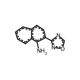 Nc1c(-c2ncon2)ccc2ccccc12